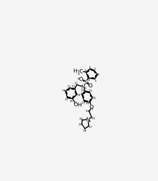 Cc1ccccc1S(=O)(=O)N(Cc1cccc(O)c1)c1ccc(OCCN2CCCC2)cc1